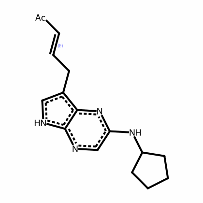 CC(=O)/C=C/Cc1c[nH]c2ncc(NC3CCCC3)nc12